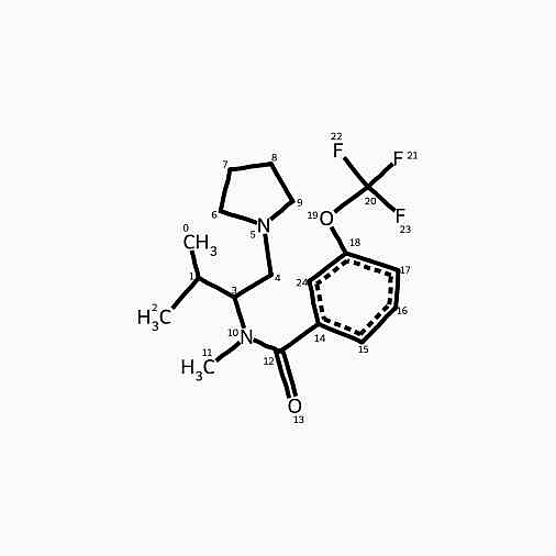 CC(C)C(CN1CCCC1)N(C)C(=O)c1cccc(OC(F)(F)F)c1